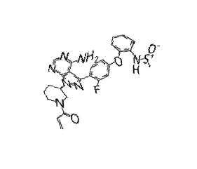 C=CC(=O)N1CCCC(n2nc(-c3ccc(Oc4ccccc4N[S+](C)[O-])cc3F)c3c(N)ncnc32)C1